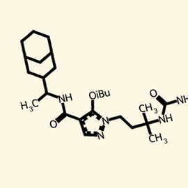 CC(C)COc1c(C(=O)NC(C)C2CC3CCCC(C3)C2)cnn1CCC(C)(C)NC(N)=O